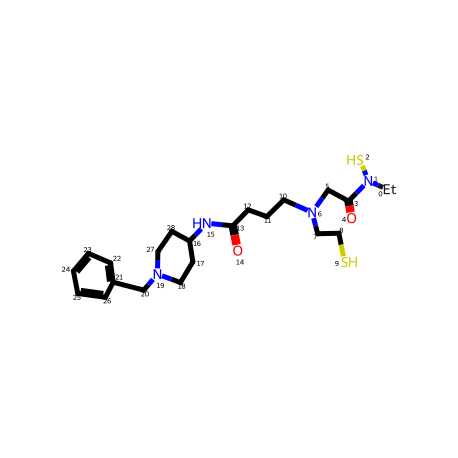 CCN(S)C(=O)CN(CCS)CCCC(=O)NC1CCN(Cc2ccccc2)CC1